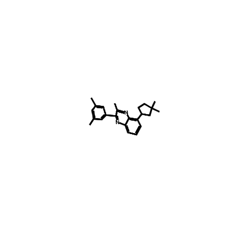 Cc1cc(C)cc(-c2nc3cccc(C4CCC(C)(C)C4)c3nc2C)c1